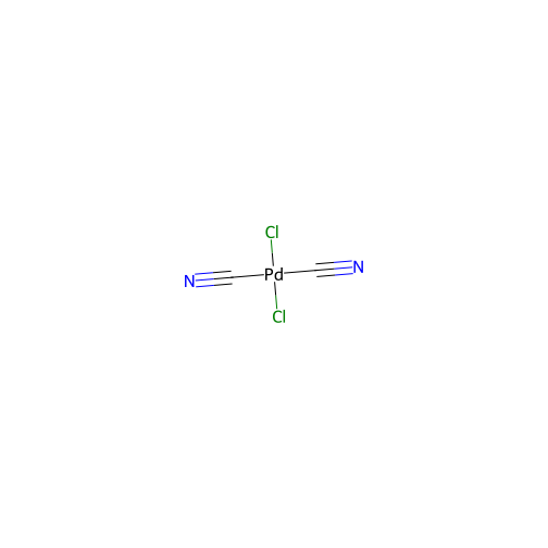 N#[C][Pd]([Cl])([Cl])[C]#N